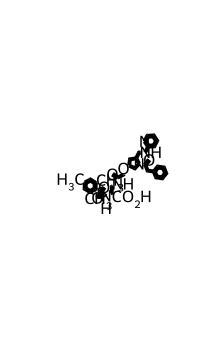 Cc1cc(C)c(S(=O)(=O)N[C@@H](CNC(=O)COC2CC(CNc3ccccn3)N(C(=O)Cc3ccccc3)C2)C(=O)O)c(C)c1